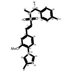 COc1cc(/C=C/S(=O)(=O)N(C)[C@H](C)c2ccc(F)cc2)ccc1-n1cnc(C)c1